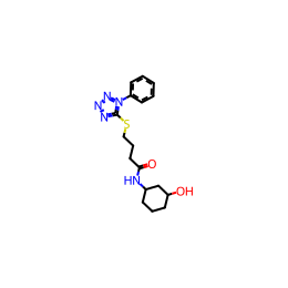 O=C(CCCSc1nnnn1-c1ccccc1)NC1CCCC(O)C1